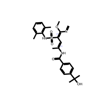 C=N/C(OC)=C(\C=C(/C)NC(=O)c1ccc(C(C)(C)O)cc1)S(=O)(=O)Nc1c(C)cccc1C